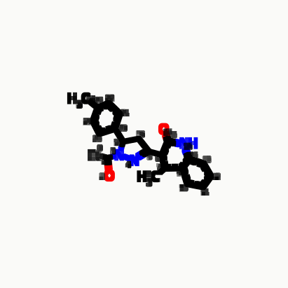 CCC(=O)N1N=C(c2c(C)c3ccccc3[nH]c2=O)CC1c1ccc(C)cc1